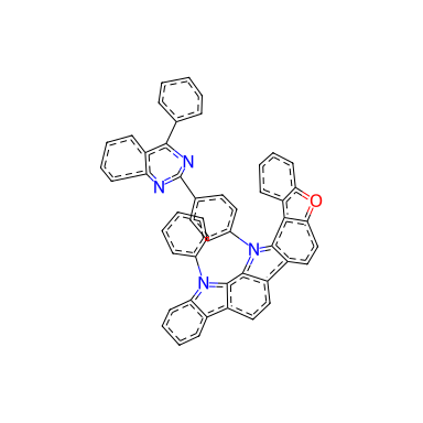 c1ccc(-c2nc(-c3ccc(-n4c5c(ccc6oc7ccccc7c65)c5ccc6c7ccccc7n(-c7ccccc7)c6c54)cc3)nc3ccccc23)cc1